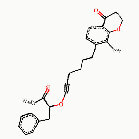 CCCc1c(CCCCC#COC(Cc2ccccc2)C(=O)OC)ccc2c1OCCC2=O